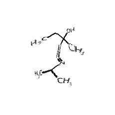 CCC(C)(O)N=NC(C)C